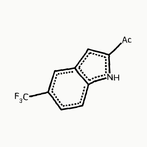 CC(=O)c1cc2cc(C(F)(F)F)ccc2[nH]1